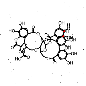 O=C(O)CC1COC2C3COC(=O)c4cc(O)c(O)c(O)c4-c4c(cc(O)c(O)c4O)COC2C(OC(=O)c2cc(O)c(O)c4c2C1C(O)C(=O)O4)C(OC(=O)c1cc(O)c(O)c(O)c1)O3